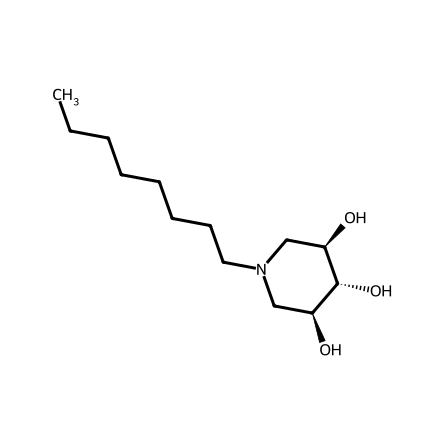 CCCCCCCCN1C[C@@H](O)[C@H](O)[C@@H](O)C1